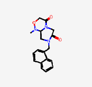 CN1OCC(=O)N2CC(=O)N(Cc3cccc4ccccc34)CC12